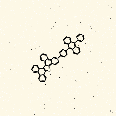 c1ccc(-c2c3ccccc3c(-c3ccc(-c4ccc5c(c4)c4ccccc4c4c5oc5c6ccccc6c6ccccc6c54)cc3)c3ccccc23)cc1